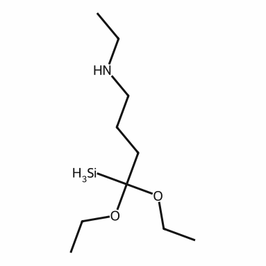 CCNCCCC([SiH3])(OCC)OCC